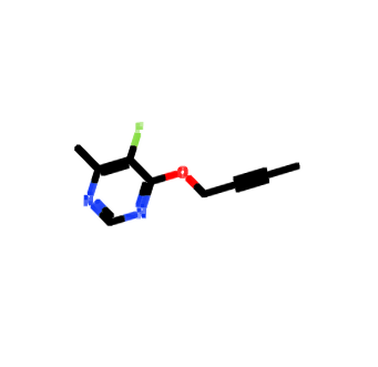 CC#CCOc1ncnc(C)c1F